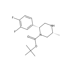 C[C@@H]1CN(C(=O)OC(C)(C)C)[C@H](c2ccc(F)c(F)c2)CN1